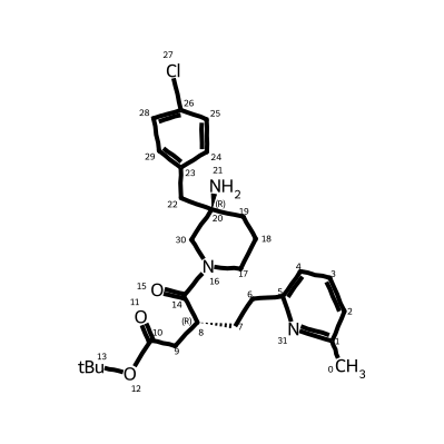 Cc1cccc(CC[C@H](CC(=O)OC(C)(C)C)C(=O)N2CCC[C@@](N)(Cc3ccc(Cl)cc3)C2)n1